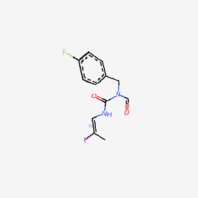 C/C(I)=C\NC(=O)N(C=O)Cc1ccc(F)cc1